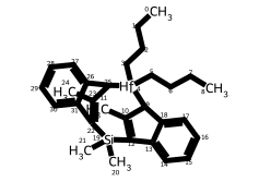 CCC[CH2][Hf]1([CH2]CCC)[CH]2C(C)=C(c3ccccc32)[Si](C)(C)C2=C(C)[CH]1c1ccccc12